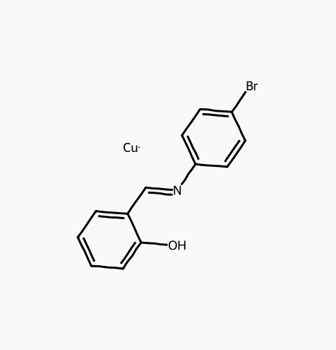 Oc1ccccc1/C=N/c1ccc(Br)cc1.[Cu]